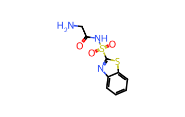 NCC(=O)NS(=O)(=O)c1nc2ccccc2s1